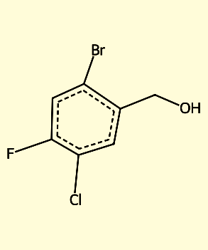 OCc1cc(Cl)c(F)cc1Br